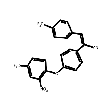 N#CC(=Cc1ccc(C(F)(F)F)cc1)c1ccc(Oc2ccc(C(F)(F)F)cc2[N+](=O)[O-])cc1